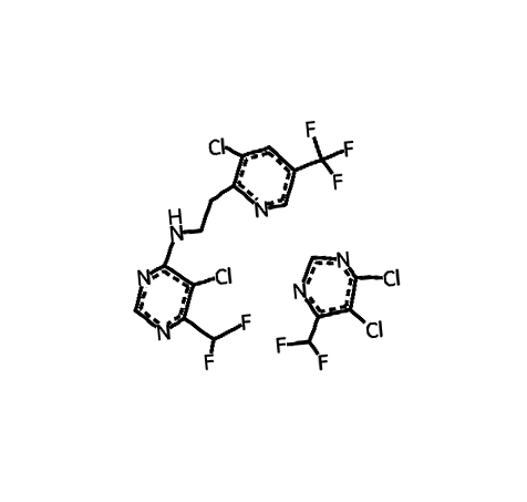 FC(F)c1ncnc(Cl)c1Cl.FC(F)c1ncnc(NCCc2ncc(C(F)(F)F)cc2Cl)c1Cl